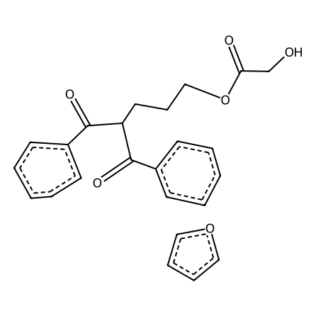 O=C(CO)OCCCC(C(=O)c1ccccc1)C(=O)c1ccccc1.c1ccoc1